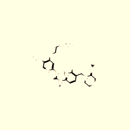 COCCOc1cc(NC(=O)N(C)c2ccc(CN3CCOCC3=C=O)c(C=O)n2)ncc1C#N